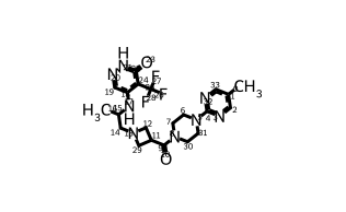 Cc1cnc(N2CCN(C(=O)C3CN(CC(C)Nc4cn[nH]c(=O)c4C(F)(F)F)C3)CC2)nc1